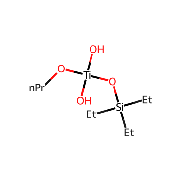 CCC[O][Ti]([OH])([OH])[O][Si](CC)(CC)CC